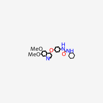 COc1cc2nccc(Oc3ccc(NC(=O)NC4CCCCC4)cc3)c2cc1OC